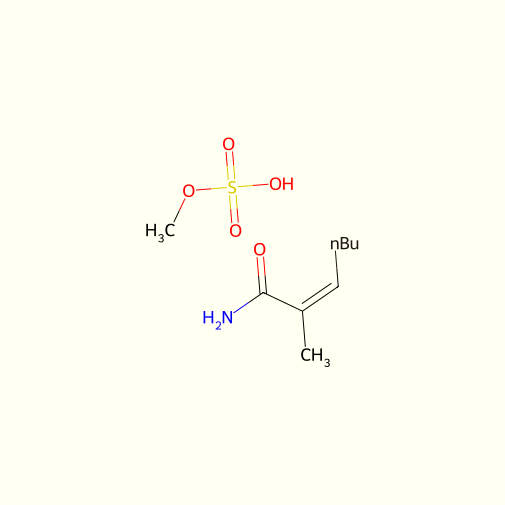 CCCCC=C(C)C(N)=O.COS(=O)(=O)O